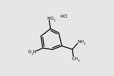 CC(N)c1cc([N+](=O)[O-])cc([N+](=O)[O-])c1.Cl